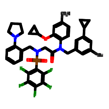 CC(C)(C)c1cc(CN(C(=O)CN(Cc2ccccc2N2CCCC2)S(=O)(=O)c2c(F)c(F)c(F)c(F)c2F)c2ccc(C(=O)O)cc2OC2CC2)cc(C2CC2)c1